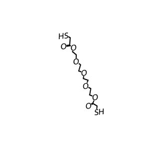 O=C(CS)OCCOCCOCCOCCOC(=O)CS